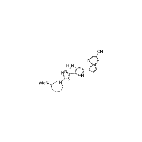 CNC1CCCCN(c2nnc(-c3cnc(-c4ccc5cc(C#N)cnn45)cc3N)s2)C1